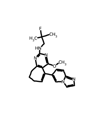 COc1nc(NCC(C)(C)F)nc2c1C(c1ccc3nccn3c1)=CCCC2